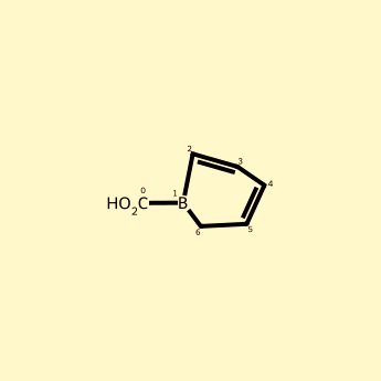 O=C(O)B1C=CC=CC1